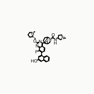 CN1CC[C@@H](NC(=O)N2CC3CCCC2CN3c2nc(OC[C@@H]3CCCN3C)nc3c(F)c(-c4cc(O)cc5ccccc45)ccc23)C1